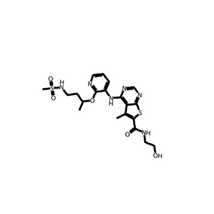 Cc1c(C(=O)NCCO)sc2ncnc(Nc3cccnc3OC(C)CCNS(C)(=O)=O)c12